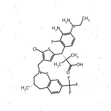 CCN(N)c1ccc([C@@H](c2cc(CN3C[C@@H](C)Cc4ccc(C(F)(F)F)cc4S3)c(Cl)s2)C(C)(C)C(=O)O)c(F)c1N